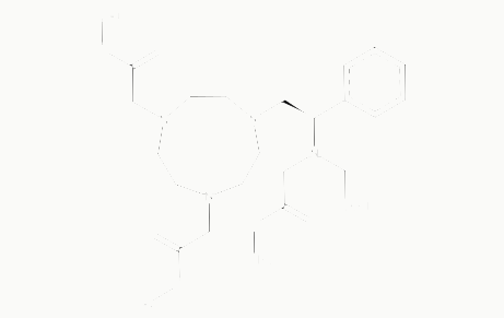 CC(C)(C)OC(=O)CN1CCN(CC(=O)OC(C)(C)C)CCN(C[C@@H](c2ccccc2)N(CC(=O)O)CC(=O)OC(C)(C)C)CC1